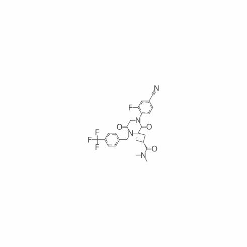 CN(C)C(=O)[C@H]1C[C@@]2(C1)C(=O)N(c1ccc(C#N)cc1F)CC(=O)N2Cc1ccc(C(F)(F)F)cc1